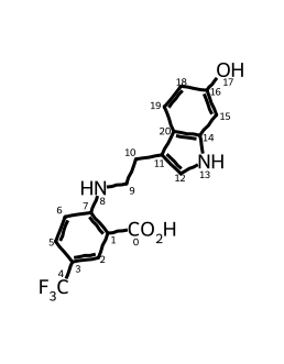 O=C(O)c1cc(C(F)(F)F)ccc1NCCc1c[nH]c2cc(O)ccc12